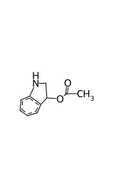 CC(=O)OC1CNc2ccccc21